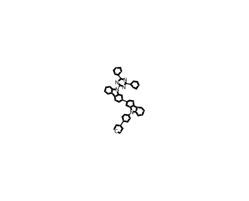 c1ccc(-c2ccc(-n3c4ccccc4c4ccc(-c5ccc6c7ccccc7n(-c7nc(-c8ccccc8)nc(-c8ccccc8)n7)c6c5)cc43)cc2)cc1